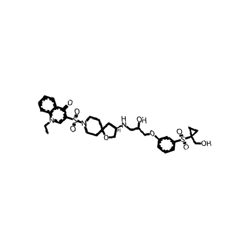 CCn1cc(S(=O)(=O)N2CCC3(CC2)C[C@@H](NCC(O)COc2cccc(S(=O)(=O)C4(CO)CC4)c2)CO3)c(=O)c2ccccc21